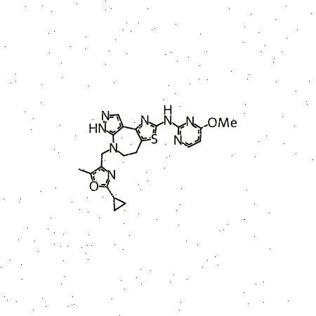 COc1ccnc(Nc2nc3c(s2)CCN(Cc2nc(C4CC4)oc2C)c2[nH]ncc2-3)n1